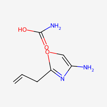 C=CCc1nc(N)co1.NC(=O)O